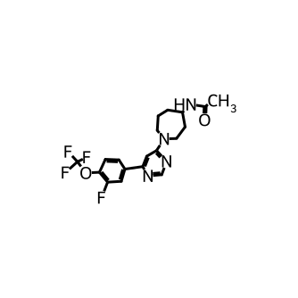 CC(=O)NC1CCCN(c2cc(-c3ccc(OC(F)(F)F)c(F)c3)ncn2)CC1